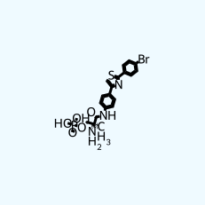 C[C@](N)(COP(=O)(O)O)C(=O)Nc1ccc(-c2csc(-c3ccc(Br)cc3)n2)cc1